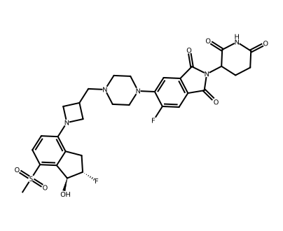 CS(=O)(=O)c1ccc(N2CC(CN3CCN(c4cc5c(cc4F)C(=O)N(C4CCC(=O)NC4=O)C5=O)CC3)C2)c2c1[C@H](O)[C@@H](F)C2